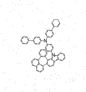 C1=CC(c2ccc(N(c3ccc(-c4ccccc4)cc3)c3ccc(-n4c5ccccc5c5ccc6c(c54)-c4ccccc4-c4cccc5cccc-6c45)cc3)cc2)=CCC1